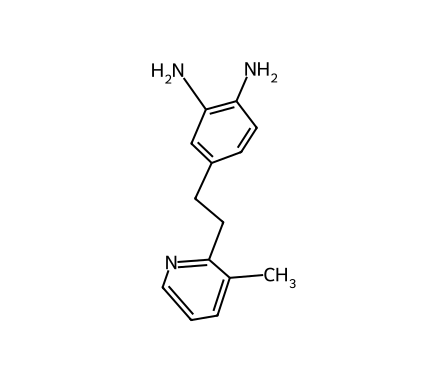 Cc1cccnc1CCc1ccc(N)c(N)c1